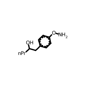 CCCC(O)Cc1ccc(ON)cc1